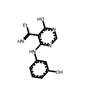 CCC(=N)c1c(O)ncnc1Nc1cccc(O)c1